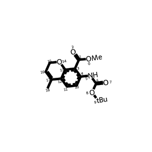 COC(=O)c1c(NC(=O)OC(C)(C)C)ccc2c1OCC=C2C